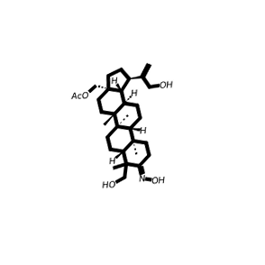 C=C(CO)[C@@H]1CC[C@]2(COC(C)=O)CC[C@]3(C)[C@H](CC[C@@H]4[C@@]5(C)CC/C(=N\O)C(C)(CO)[C@@H]5CC[C@]43C)[C@@H]12